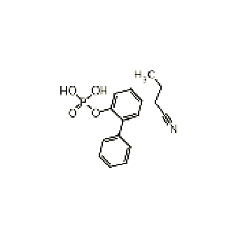 CCCC#N.O=P(O)(O)Oc1ccccc1-c1ccccc1